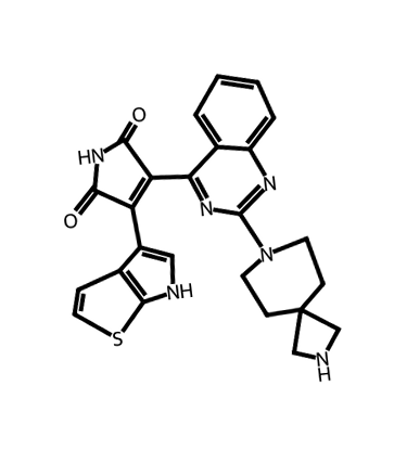 O=C1NC(=O)C(c2c[nH]c3sccc23)=C1c1nc(N2CCC3(CC2)CNC3)nc2ccccc12